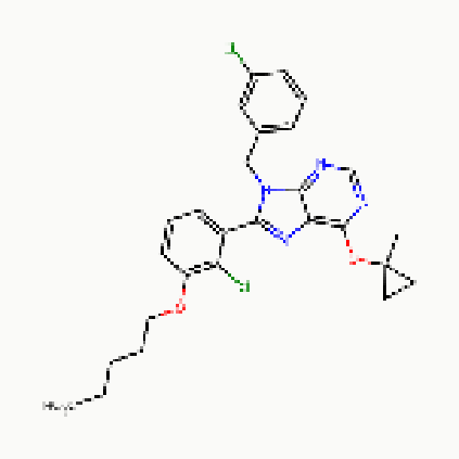 CC1(Oc2ncnc3c2nc(-c2cccc(OCCCCC(=O)O)c2Cl)n3Cc2cccc(Cl)c2)CC1